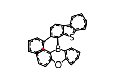 c1ccc(-c2ccc3c(sc4ccccc43)c2B2c3ccccc3Oc3ccccc32)cc1